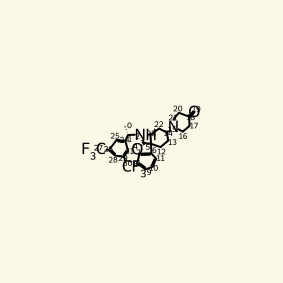 C[C@H](NC(=O)C1(c2ccccc2)CCC(N2CCC(=O)CC2)CC1)c1cc(C(F)(F)F)cc(C(F)(F)F)c1